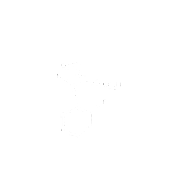 O=C(O)c1conc1-c1ccccc1F